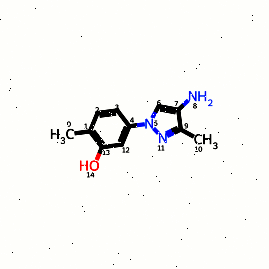 Cc1ccc(-n2cc(N)c(C)n2)cc1O